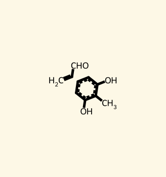 C=CC=O.Cc1c(O)cccc1O